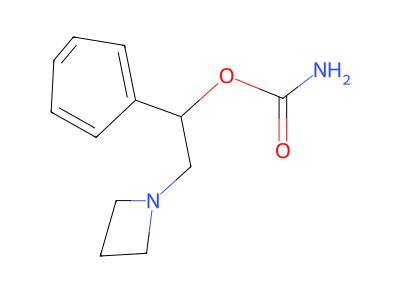 NC(=O)OC(CN1CCC1)c1ccccc1